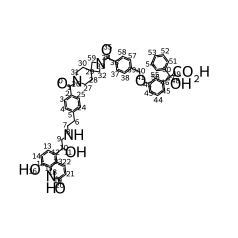 O=C(c1ccc(CCNCC(O)c2ccc(O)c3[nH]c(=O)ccc23)cc1)N1CCC2(CC1)CN(C(=O)c1ccc(COc3cccc(C(O)(C(=O)O)c4ccccc4)c3)cc1)C2